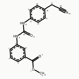 COC(=O)c1cccc(NC(=O)Nc2ccc(CC#N)cc2)c1